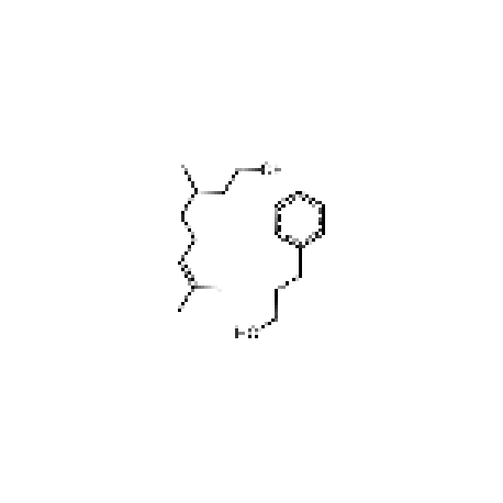 CC(C)=CCCC(C)CCO.OCCCc1ccccc1